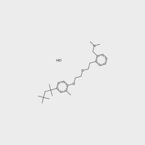 Cc1cc(C(C)(C)CC(C)(C)C)ccc1OCCOCCc1ccccc1CN(C)C.Cl